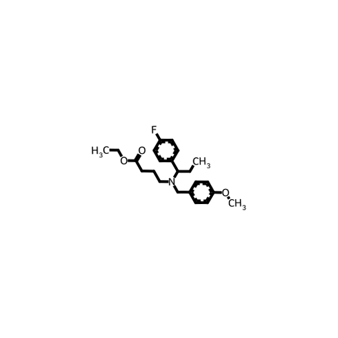 CCOC(=O)CCCN(Cc1ccc(OC)cc1)C(CC)c1ccc(F)cc1